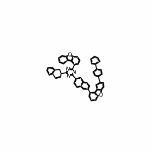 C1=CC(c2nc(-c3ccc4cc(-c5cccc6oc7ccc(-c8ccc(-c9ccccc9)cc8)cc7c56)ccc4c3)nc(-c3cccc4oc5ccccc5c34)n2)Cc2ccccc21